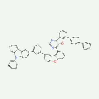 c1ccc(-c2ccc(-c3cccc4c3oc3c(-c5cccc6oc7ccc(-c8cccc(-c9ccc%10c(c9)c9ccccc9n%10-c9ccccc9)c8)cc7c56)ncnc34)cc2)cc1